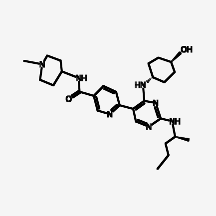 CCC[C@H](C)Nc1ncc(-c2ccc(C(=O)NC3CCN(C)CC3)cn2)c(N[C@H]2CC[C@H](O)CC2)n1